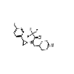 O=C(N(CC1CCNCC1)C1CC1c1ccc(I)cc1)C(F)(F)F